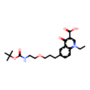 CCn1cc(C(=O)O)c(=O)c2cc(CCCOCCNC(=O)OC(C)(C)C)ccc21